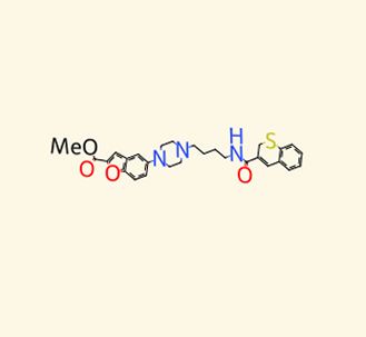 COC(=O)c1cc2cc(N3CCN(CCCCNC(=O)C4=Cc5ccccc5SC4)CC3)ccc2o1